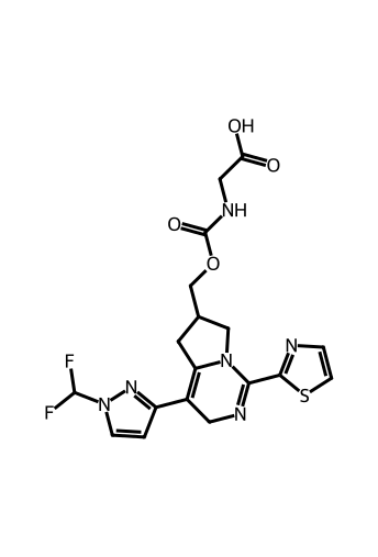 O=C(O)CNC(=O)OCC1CC2=C(c3ccn(C(F)F)n3)CN=C(c3nccs3)N2C1